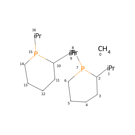 C.CC(C)C1CCCCP1C(C)C.CC(C)C1CCCCP1C(C)C